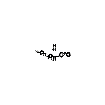 CNC.Cc1c(OCc2ccc(C#N)cn2)ccc2c(CCC3CCN(Cc4ccccc4)CC3)noc12